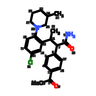 COC(=O)c1ccc(C(C(N)=O)C(C)c2cc(Cl)ccc2N2CCCC(C)C2)cc1